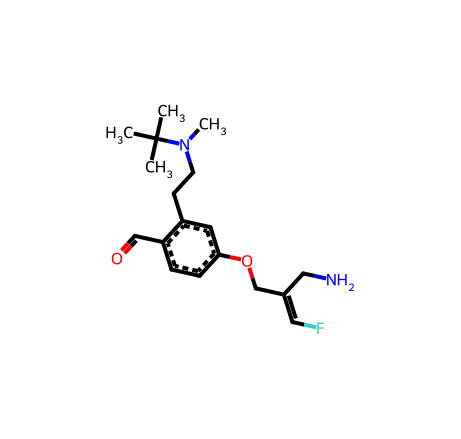 CN(CCc1cc(OC/C(=C/F)CN)ccc1C=O)C(C)(C)C